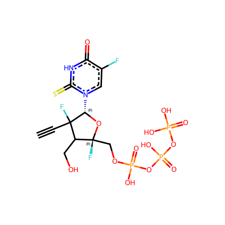 C#CC1(F)C(CO)[C@@](F)(COP(=O)(O)OP(=O)(O)OP(=O)(O)O)O[C@H]1n1cc(F)c(=O)[nH]c1=S